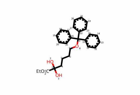 CCOC(=O)C(O)(O)CCCCOC(c1ccccc1)(c1ccccc1)c1ccccc1